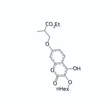 CCCCCCOc1c(O)c2ccc(OCC(C)C(=O)OCC)cc2oc1=O